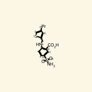 CC(C)c1csc(CNc2ccc(S(N)(=O)=O)cc2C(=O)O)c1